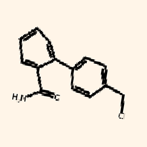 NC(=O)c1ccccc1-c1ccc(CCl)cc1